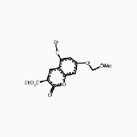 CCOC(=O)c1cc2c(CBr)cc(OCOC)cc2oc1=O